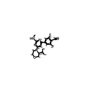 CNc1nc(-c2cc(F)c(C#N)c(F)c2)cc(N2CCOCC2C(C)C)n1